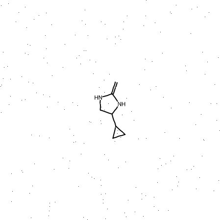 C=C1NCC(C2CC2)N1